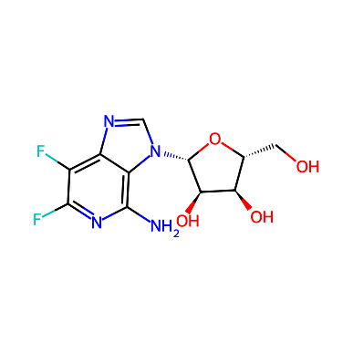 Nc1nc(F)c(F)c2ncn([C@@H]3O[C@H](CO)[C@@H](O)[C@H]3O)c12